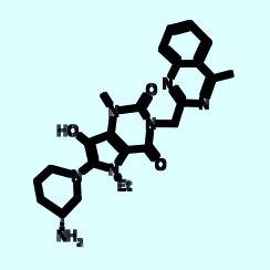 CCn1c(N2CCC[C@@H](N)C2)c(O)c2c1c(=O)n(Cc1nc(C)c3ccccc3n1)c(=O)n2C